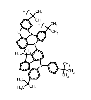 CC(C)(C)c1ccc(N(c2ccc(C(C)(C)C)cc2)c2ccc(N3c4ccc(C(C)(C)C)cc4B4c5cc(C(C)(C)C)ccc5Oc5cccc3c54)c3c2-c2ccccc2C3(C)C)cc1